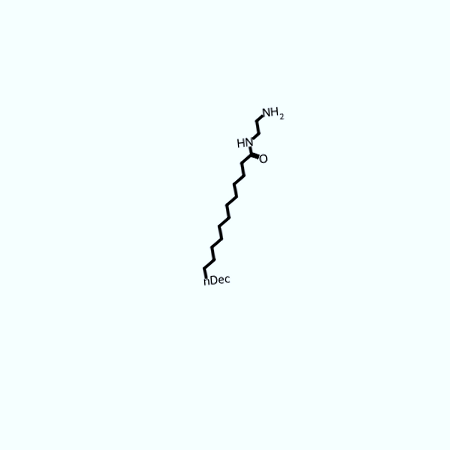 CCCCCCCCCCCCCCCCCCCCCC(=O)NCCN